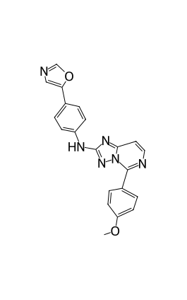 COc1ccc(-c2nccc3nc(Nc4ccc(-c5cnco5)cc4)nn23)cc1